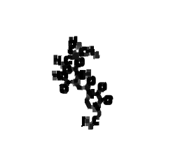 CCN1CCN(C(=O)C[C@H](NC(=O)OC(C)(C)C)C(=O)O)C(=O)C1=O